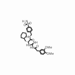 COc1ccc(CC(=O)NC(=N)N[C@H](CC2CCCCC2)C(=O)NCc2ccc(S(N)(=O)=O)cc2)cc1OC